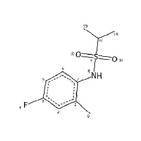 Cc1cc(F)ccc1NS(=O)(=O)C(C)C